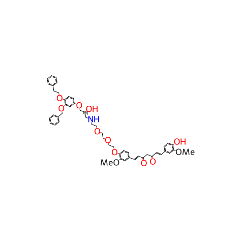 COc1cc(C=CC(=O)CC(=O)C=Cc2ccc(OCCOCCOCCNC[C@@H](O)COc3ccc(OCCc4ccccc4)c(OCc4ccccc4)c3)c(OC)c2)ccc1O